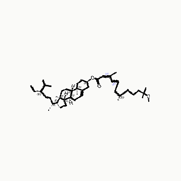 CC[C@H](CC[C@@H](C)[C@H]1CC[C@H]2[C@@H]3CC=C4C[C@H](OC(=O)/C=C(C)\C=C\C[C@@H](C)CCCC(C)(C)OC)CC[C@]4(C)[C@H]3CC[C@]12C)C(C)C